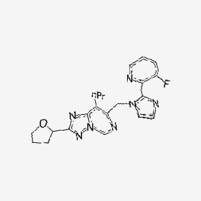 CCCc1c(Cn2ccnc2-c2ncccc2F)ncn2nc(C3CCCO3)nc12